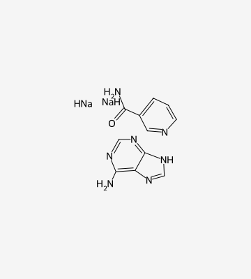 NC(=O)c1cccnc1.Nc1ncnc2[nH]cnc12.[NaH].[NaH]